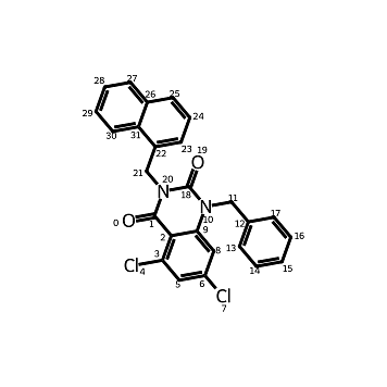 O=c1c2c(Cl)cc(Cl)cc2n(Cc2ccccc2)c(=O)n1Cc1cccc2ccccc12